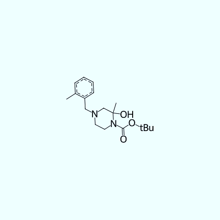 Cc1ccccc1CN1CCN(C(=O)OC(C)(C)C)C(C)(O)C1